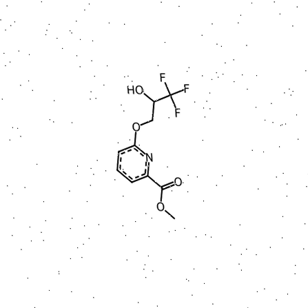 COC(=O)c1cccc(OCC(O)C(F)(F)F)n1